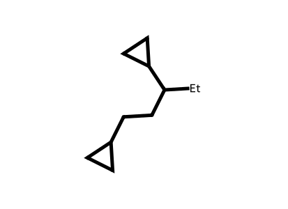 CC[C](CCC1CC1)C1CC1